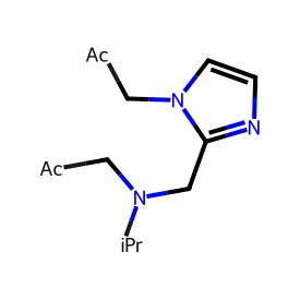 CC(=O)CN(Cc1nccn1CC(C)=O)C(C)C